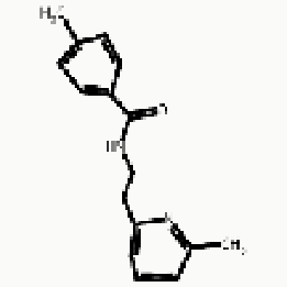 Cc1ccc(C(=O)NCCc2cccc(C)n2)cc1